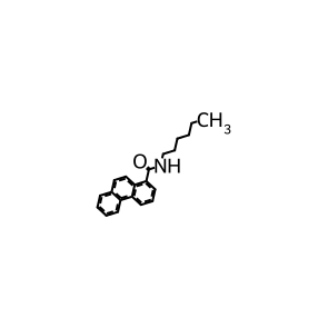 CCCCCCNC(=O)c1cccc2c1ccc1ccccc12